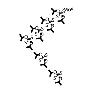 CC(C)OP(=S)([S-])OC(C)C.CC(C)OP(=S)([S-])OC(C)C.CC(C)OP(=S)([S-])OC(C)C.CC(C)OP(=S)([S-])OC(C)C.CC(C)OP(=S)([S-])OC(C)C.CC(C)OP(=S)([S-])OC(C)C.[Mo+6]